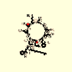 CC(C)CCCCCCCCC(=O)NC(Cc1c[nH]c2ccccc12)C(=O)NC(CC(N)=O)C(=O)NC(CC(=O)O)C(=O)NC1C(=O)NCC(=O)NC(CCCN)C(=O)NC(CC(=O)O)C(=O)NC(CCCCN)C(=O)NC(CC(=O)O)C(=O)NCC(=O)NC(CC(N)=O)C(=O)NC(C(C)CC(=O)O)C(=O)NC(CC(=O)c2ccccc2N)C(=O)OC1C